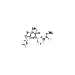 CC(C)(C)OC(=O)N1CCCC(c2nc3c(-c4nccs4)cnn3c(N)c2Br)C1